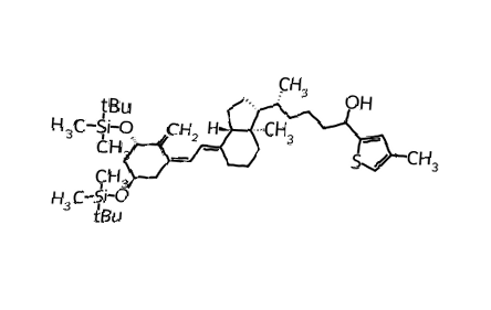 C=C1/C(=C\C=C2/CCC[C@]3(C)[C@@H]([C@H](C)CCCC(O)c4cc(C)cs4)CC[C@@H]23)C[C@@H](O[Si](C)(C)C(C)(C)C)C[C@@H]1O[Si](C)(C)C(C)(C)C